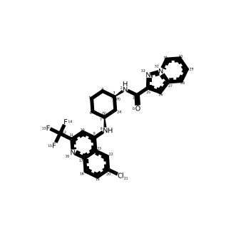 O=C(N[C@@H]1CCC[C@H](Nc2cc(C(F)(F)F)nc3ccc(Cl)cc23)C1)c1cc2ccccn2n1